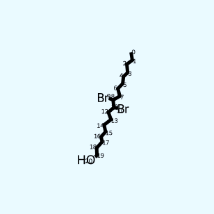 CCCCCCCCC(Br)C(Br)CCCCCCCCO